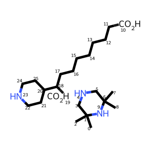 CC1(C)CNCC(C)(C)N1.O=C(O)CCCCCCCC(C(=O)O)C1CCNCC1